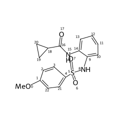 COc1ccc(S(=O)(=O)Nc2ccccc2NC(=O)C2CC2)cc1